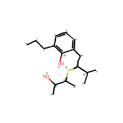 CCCc1cccc(CC(SC(C)C(C)O)C(C)C)c1O